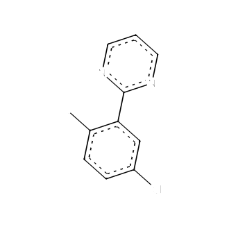 Clc1ccc(I)c(-c2ncccn2)c1